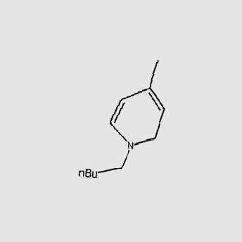 CCCCCN1C=CC(C)=CC1